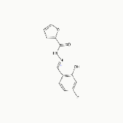 O=C(N/N=C/c1ccc(F)cc1O)c1ccco1